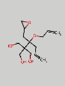 C=CCOC(CC=C)(CC1CO1)C(CO)(CO)CO